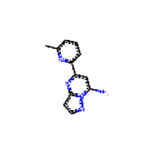 Cc1cccc(-c2cc(N)n3nccc3n2)n1